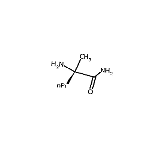 CCC[C@](C)(N)C(N)=O